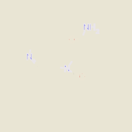 NC(=O)c1ccccc1CN(C(=O)c1ccccc1)C1CCc2ncccc21